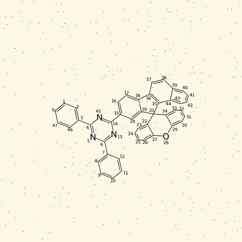 c1ccc(-c2nc(-c3ccccc3)nc(-c3ccc4c(c3)C3(c5ccccc5Oc5ccccc53)c3c-4ccc4ccccc34)n2)cc1